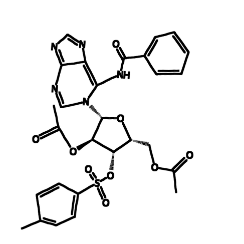 CC(=O)OC[C@H]1O[C@@H](n2cnc3ncnc-3c2NC(=O)c2ccccc2)[C@H](OC(C)=O)[C@H]1OS(=O)(=O)c1ccc(C)cc1